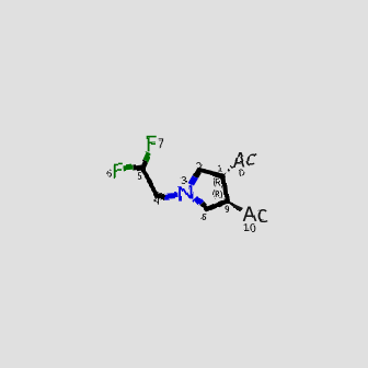 CC(=O)[C@H]1CN(CC(F)F)C[C@@H]1C(C)=O